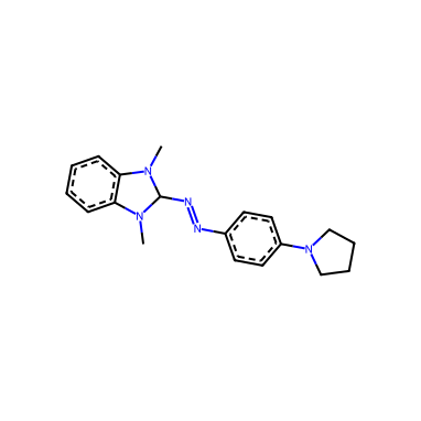 CN1c2ccccc2N(C)C1N=Nc1ccc(N2CCCC2)cc1